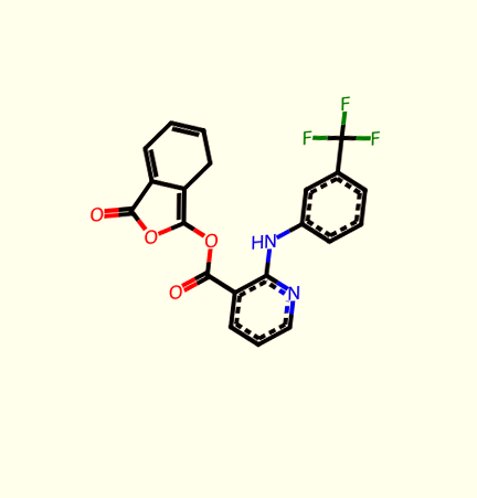 O=C1OC(OC(=O)c2cccnc2Nc2cccc(C(F)(F)F)c2)=C2CC=CC=C12